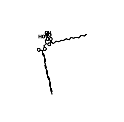 CC#CC#CC#CC#CC#CC#CC#CC(=O)OC[C@@H](COP(=O)(O)O)OC(=O)CCCCCCCCCCCCCC